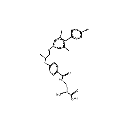 COC(=O)C(O)CNC(=O)c1ccc(CC(C)COc2cc(C)c(-c3ccc(C(C)C)cc3)c(C)c2)cc1